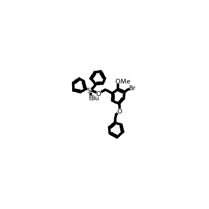 COc1c(Br)cc(OCc2ccccc2)cc1CO[Si](c1ccccc1)(c1ccccc1)C(C)(C)C